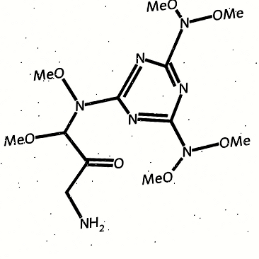 COC(C(=O)CN)N(OC)c1nc(N(OC)OC)nc(N(OC)OC)n1